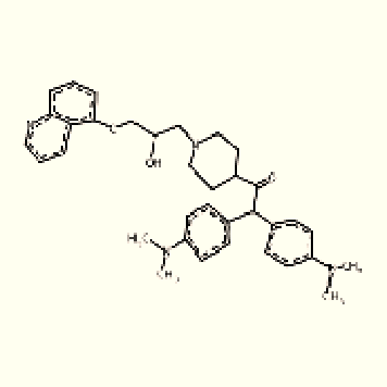 CN(C)c1ccc(C(C(=O)C2CCN(CC(O)COc3cccc4ncccc34)CC2)c2ccc(N(C)C)cc2)cc1